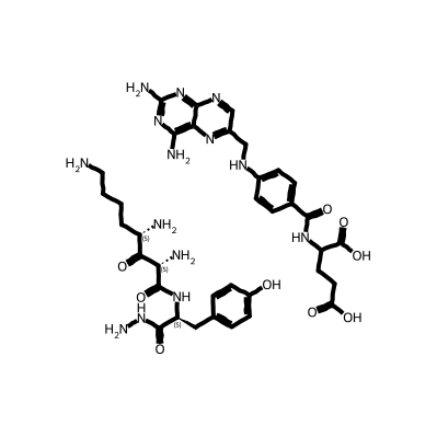 NCCCC[C@H](N)C(=O)[C@H](N)C(=O)N[C@@H](Cc1ccc(O)cc1)C(=O)NN.Nc1nc(N)c2nc(CNc3ccc(C(=O)NC(CCC(=O)O)C(=O)O)cc3)cnc2n1